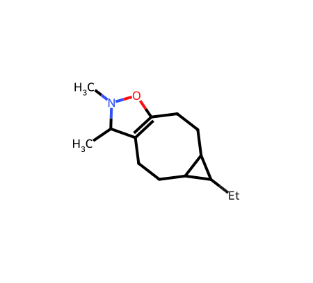 CCC1C2CCC3=C(CCC12)C(C)N(C)O3